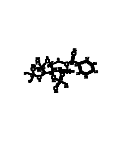 CC1(C)OC2[C@H](O[C@H](COC(=O)c3ccccc3)[C@@]2(C#N)OS(C)(=O)=O)O1